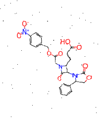 O=C(O)CCC1C(N2C(=O)OCC2c2ccccc2)C(=O)N1CC(=O)OCc1ccc([N+](=O)[O-])cc1